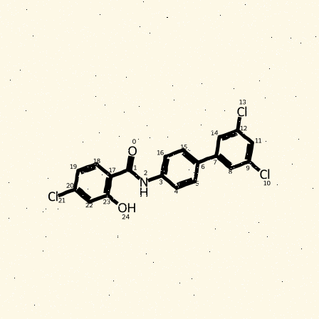 O=C(Nc1ccc(-c2cc(Cl)cc(Cl)c2)cc1)c1ccc(Cl)cc1O